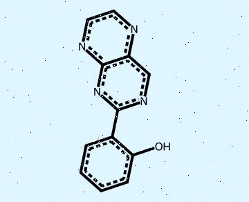 Oc1ccccc1-c1ncc2nccnc2n1